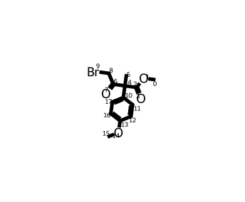 COC(=O)C(C)(C(=O)CBr)c1ccc(OC)cc1